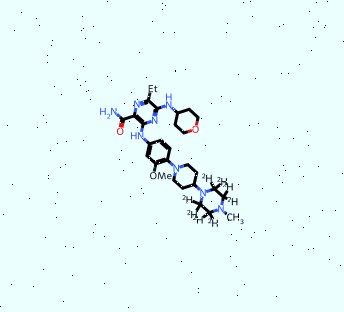 [2H]C1([2H])N(C)C([2H])([2H])C([2H])([2H])N(C2CCN(c3ccc(Nc4nc(NC5CCOCC5)c(CC)nc4C(N)=O)cc3OC)CC2)C1([2H])[2H]